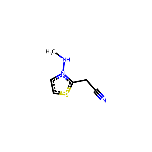 CN[n+]1ccsc1CC#N